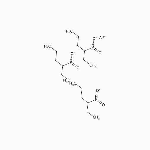 CCCC(CC)[PH](=O)[O-].CCCC(CC)[PH](=O)[O-].CCCC(CC)[PH](=O)[O-].[Al+3]